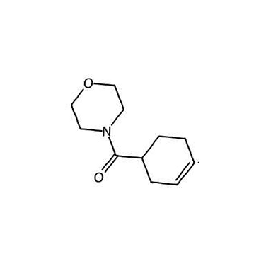 O=C(C1CC=[C]CC1)N1CCOCC1